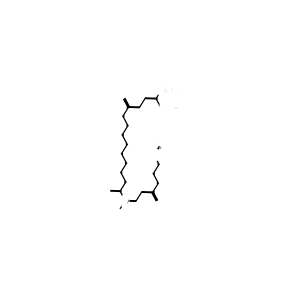 C=C(CCCCCCCCC(C)N(C)CCC(=C)CCCSSCCCC)CCC(CCCC)CCCCCC